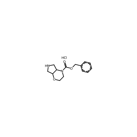 Cl.O=C(OCc1ccccc1)N1CCOC2CNCC21